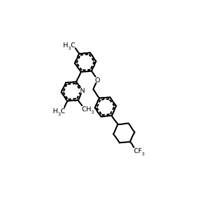 Cc1ccc(OCc2ccc(C3CCC(C(F)(F)F)CC3)cc2)c(-c2ccc(C)c(C)n2)c1